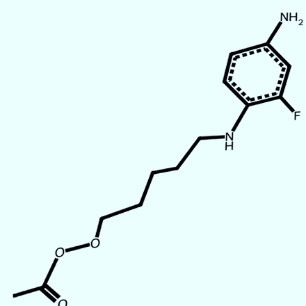 CC(=O)OOCCCCCNc1ccc(N)cc1F